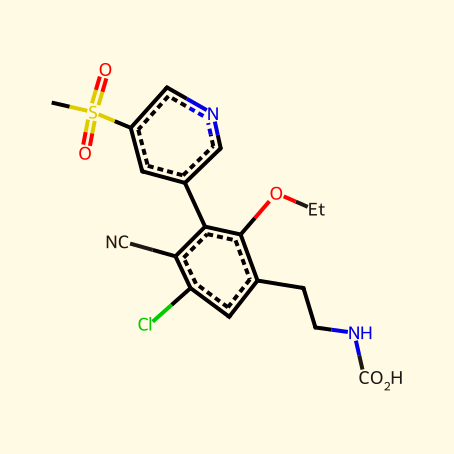 CCOc1c(CCNC(=O)O)cc(Cl)c(C#N)c1-c1cncc(S(C)(=O)=O)c1